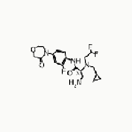 NC[C@@H](C(=O)Nc1ccc(N2CCOCC2=O)cc1F)N(CC(F)F)CC1CC1